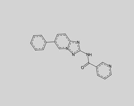 O=C(Nc1nc2ccc(-c3ccccc3)cn2n1)c1cccnc1